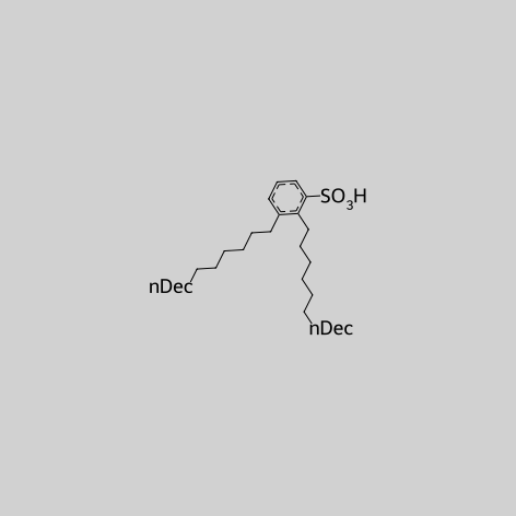 CCCCCCCCCCCCCCCCc1cccc(S(=O)(=O)O)c1CCCCCCCCCCCCCCCC